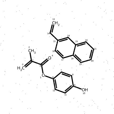 C=C(C)C(=O)Oc1ccc(O)cc1.C=Cc1ccc2ccccc2c1